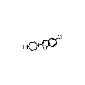 Clc1ccc2oc(N3CCNCC3)cc2c1